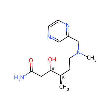 C[C@H](CCN(C)Cc1cnccn1)[C@@H](O)CC(N)=O